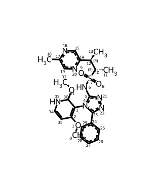 COC1=C(n2c(NS(=O)(=O)[C@@H](C)[C@H](C)c3cnc(C)cn3)nnc2-c2ccccc2)C(OC)NC=C1